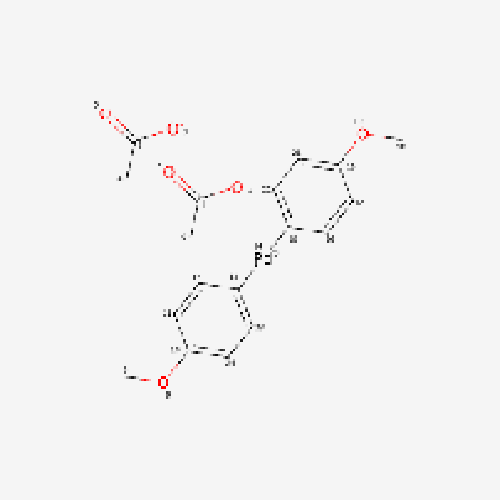 CC(=O)[O-].CC(=O)[O-].COc1cc[c]([Pd+2][c]2ccc(OC)cc2)cc1